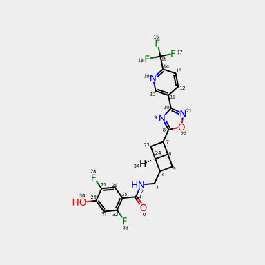 O=C(NCC1CC2C(c3nc(-c4ccc(C(F)(F)F)nc4)no3)C[C@H]12)c1cc(F)c(O)cc1F